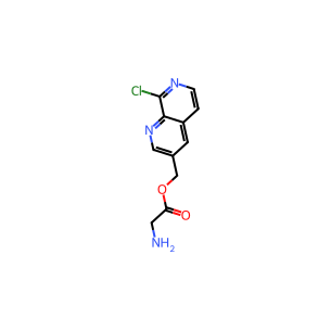 NCC(=O)OCc1cnc2c(Cl)nccc2c1